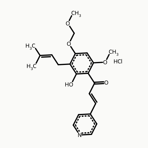 COCOc1cc(OC)c(C(=O)C=Cc2ccncc2)c(O)c1CC=C(C)C.Cl